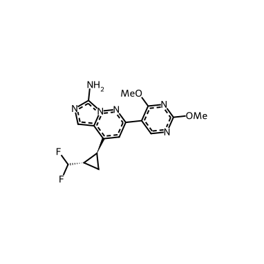 COc1ncc(-c2cc([C@H]3C[C@@H]3C(F)F)c3cnc(N)n3n2)c(OC)n1